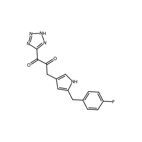 O=C(Cc1c[nH]c(Cc2ccc(F)cc2)c1)C(=O)c1nn[nH]n1